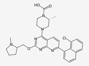 C[C@@H]1CN(c2nc(OCC3CCCN3C)nc3nc(-c4cccc5cccc(Cl)c45)ccc23)CCN1C(=O)O